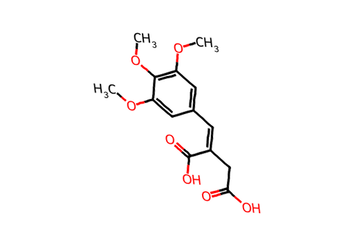 COc1cc(C=C(CC(=O)O)C(=O)O)cc(OC)c1OC